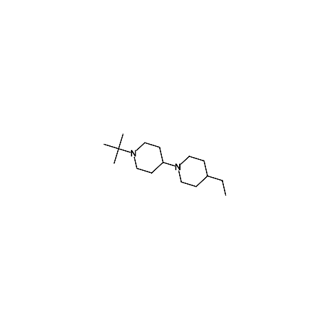 CCC1CCN(C2CCN(C(C)(C)C)CC2)CC1